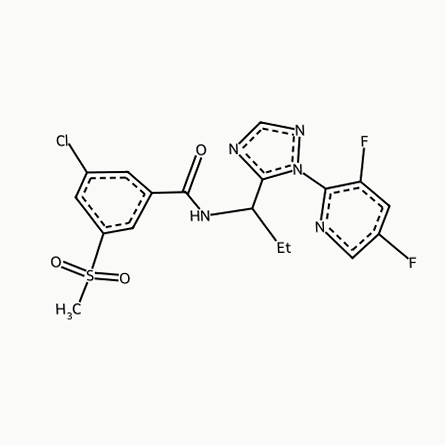 CCC(NC(=O)c1cc(Cl)cc(S(C)(=O)=O)c1)c1ncnn1-c1ncc(F)cc1F